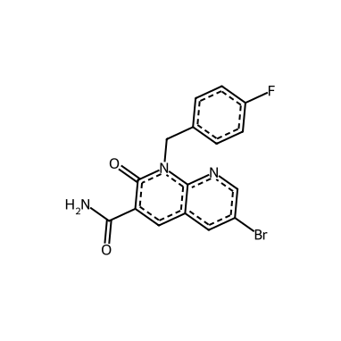 NC(=O)c1cc2cc(Br)cnc2n(Cc2ccc(F)cc2)c1=O